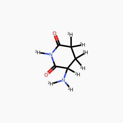 [2H]N1C(=O)C([2H])([2H])C([2H])([2H])C([2H])(N([2H])[2H])C1=O